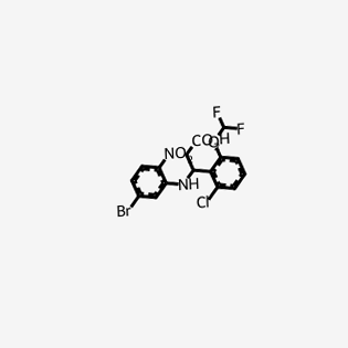 O=C(O)CC(Nc1cc(Br)ccc1[N+](=O)[O-])c1c(Cl)cccc1OC(F)F